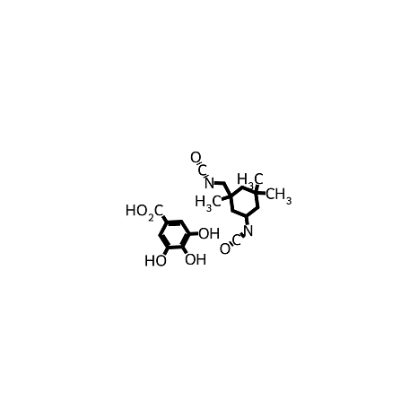 CC1(C)CC(N=C=O)CC(C)(CN=C=O)C1.O=C(O)c1cc(O)c(O)c(O)c1